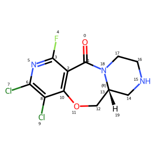 O=C1c2c(F)nc(Cl)c(Cl)c2OC[C@H]2CNCCN12